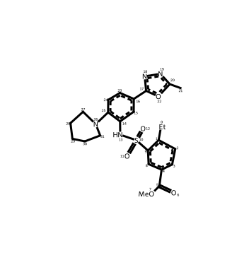 CCc1ccc(C(=O)OC)cc1S(=O)(=O)Nc1cc(-c2nnc(C)o2)ccc1N1CCCCC1